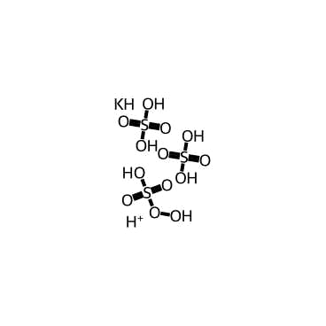 O=S(=O)(O)O.O=S(=O)(O)O.O=S(=O)(O)OO.[H+].[KH]